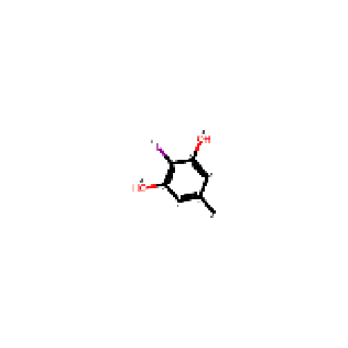 Cc1cc(O)c(I)c(O)c1